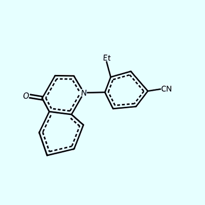 CCc1cc(C#N)ccc1-n1ccc(=O)c2ccccc21